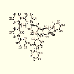 c1ccc(-c2ccc(-n3c4ccc(-c5cccc(-c6ccccc6Nc6cccc(-c7ccccc7)c6)c5)cc4c4cc5c(cc43)sc3ccccc35)cc2)cc1